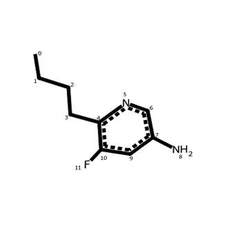 CCCCc1ncc(N)cc1F